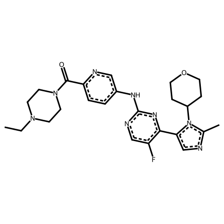 CCN1CCN(C(=O)c2ccc(Nc3ncc(F)c(-c4cnc(C)n4C4CCOCC4)n3)cn2)CC1